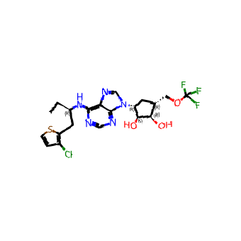 CC[C@H](Cc1sccc1Cl)Nc1ncnc2c1ncn2[C@@H]1C[C@H](COC(F)(F)F)[C@@H](O)[C@H]1O